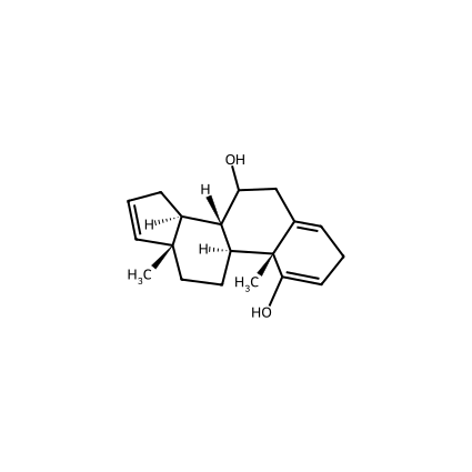 C[C@]12C(O)=CCC=C1CC(O)[C@@H]1[C@@H]2CC[C@]2(C)C=CC[C@@H]12